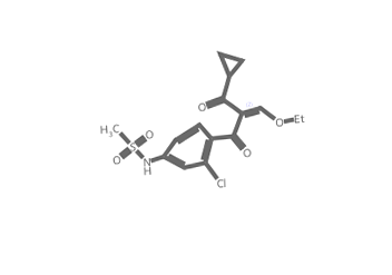 CCO/C=C(\C(=O)c1ccc(NS(C)(=O)=O)cc1Cl)C(=O)C1CC1